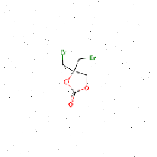 O=C1OCC(CBr)(CBr)O1